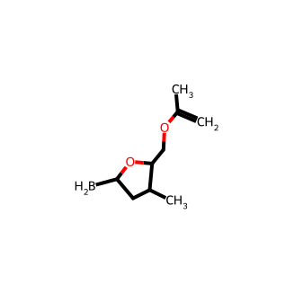 BC1CC(C)C(COC(=C)C)O1